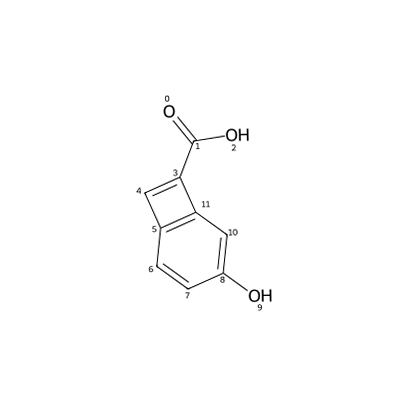 O=C(O)C1=Cc2ccc(O)cc21